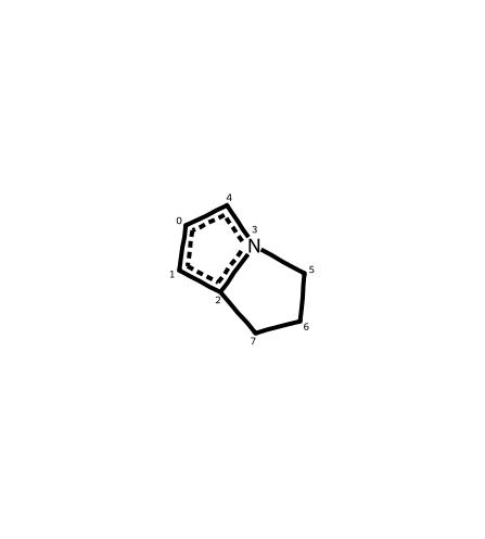 c1cc2n(c1)CCC2